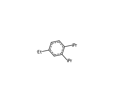 C[CH]c1ccc(C(C)C)c(C(C)C)c1